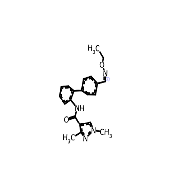 CCO/N=C\c1ccc(-c2ccccc2NC(=O)c2cn(C)nc2C)cc1